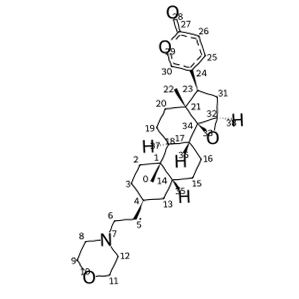 C[C@]12CC[C@H]([CH]CN3CCOCC3)C[C@H]1CC[C@@H]1[C@@H]2CC[C@]2(C)[C@@H](c3ccc(=O)oc3)C[C@H]3O[C@]132